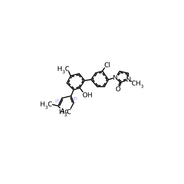 C/C=C(\C=C(\C)C(C)=O)c1cc(C)cc(-c2ccc(-n3ccn(C)c3=O)c(Cl)c2)c1O